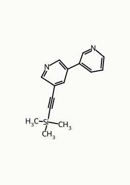 C[Si](C)(C)C#Cc1cncc(-c2cccnc2)c1